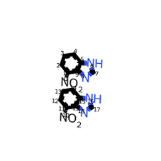 O=[N+]([O-])c1cccc2[nH]cnc12.O=[N+]([O-])c1cccc2[nH]cnc12